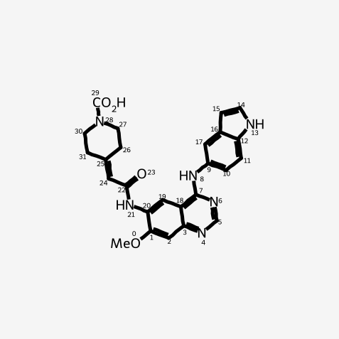 COc1cc2ncnc(Nc3ccc4[nH]ccc4c3)c2cc1NC(=O)C=C1CCN(C(=O)O)CC1